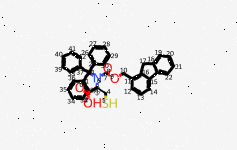 O=C(O)[C@H](CS)N(C(=O)OCc1cccc2c1Cc1ccccc1-2)C(c1ccccc1)(c1ccccc1)c1ccccc1